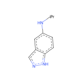 CC(C)Nc1ccc2[nH]ncc2c1